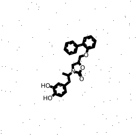 CC(Cc1ccc(O)c(O)c1)N1CC(COc2ccccc2-c2ccccc2)OC1=O